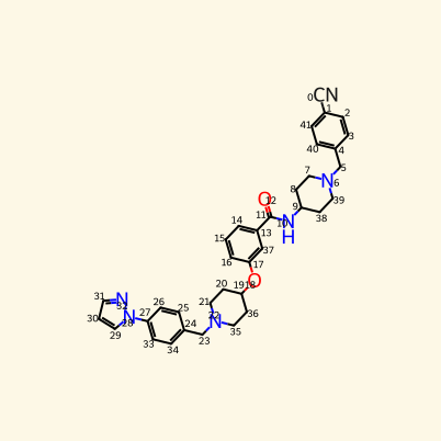 N#Cc1ccc(CN2CCC(NC(=O)c3cccc(OC4CCN(Cc5ccc(-n6cccn6)cc5)CC4)c3)CC2)cc1